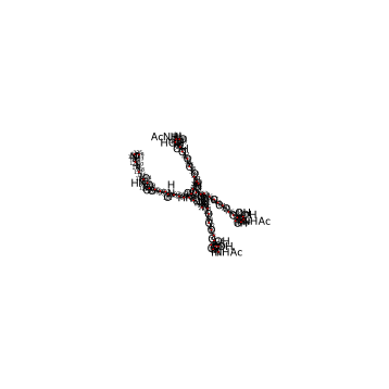 CC(=O)N[C@H]1[C@@H]2OC[C@](COCCOCCOCCOCCn3cc(COCC(COCc4cn(CCOCCOCCOCCOCC[C@@]56CO[C@@H](O5)[C@H](NC(C)=O)[C@@H](O)[C@H]6O)nn4)(COCc4cn(CCOCCOCCOCCOC[C@@]56CO[C@@H](O5)[C@H](NC(C)=O)[C@@H](O)[C@H]6O)nn4)NC(=O)CCCCCNC(=O)CCCCCOC4OCC(NC(=O)CCCCCSSc5ccccn5)CO4)nn3)(O2)[C@H](O)[C@@H]1O